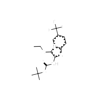 CCSc1c(NC(=O)OC(C)(C)C)nc2ccc(C(F)(F)F)cn12